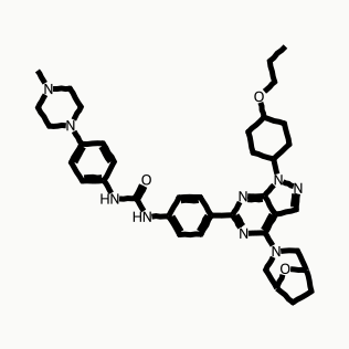 CCCOC1CCC(n2ncc3c(N4CC5CCC(C4)O5)nc(-c4ccc(NC(=O)Nc5ccc(N6CCN(C)CC6)cc5)cc4)nc32)CC1